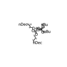 CCCCCCCCCCCCCOP(O)OCCCCCCCCCCCCC.CCCCOP(O)OCCCC